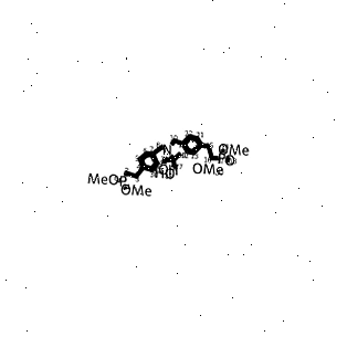 COP(CCc1ccc(CN(Cc2ccc(CCP(=O)(OC)OC)cc2)C(C)(CO)CO)cc1)OC